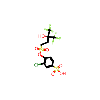 O=S(=O)(CCC(O)(C(F)(F)F)C(F)(F)F)Oc1ccc(S(=O)(=O)O)cc1Cl